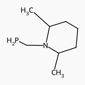 CC1CCCC(C)N1CP